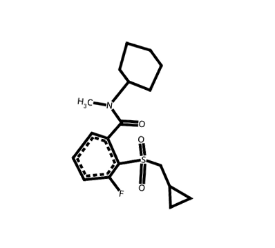 CN(C(=O)c1cccc(F)c1S(=O)(=O)CC1CC1)C1CCCCC1